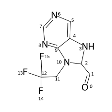 O=CC1Nc2cncnc2N1CC(F)(F)F